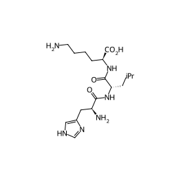 CC(C)C[C@H](NC(=O)[C@@H](N)Cc1c[nH]cn1)C(=O)N[C@@H](CCCCN)C(=O)O